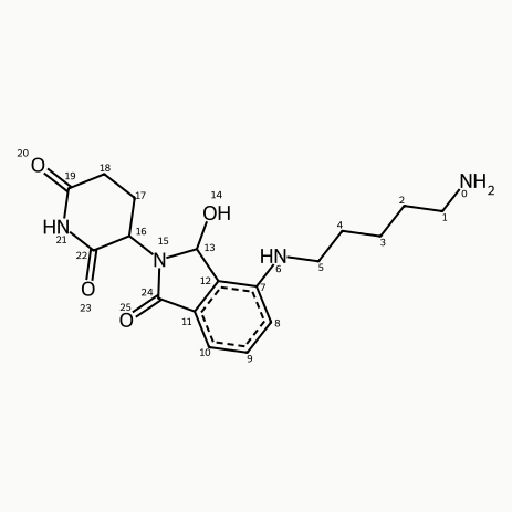 NCCCCCNc1cccc2c1C(O)N(C1CCC(=O)NC1=O)C2=O